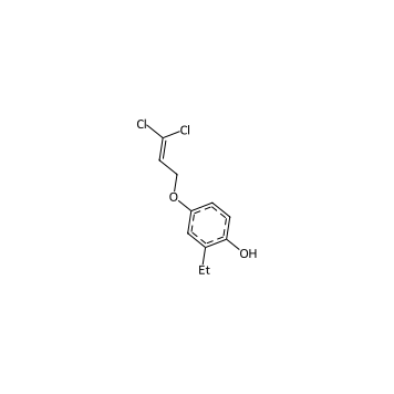 CCc1cc(OCC=C(Cl)Cl)ccc1O